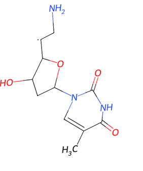 Cc1cn(C2CC(O)C([CH]CN)O2)c(=O)[nH]c1=O